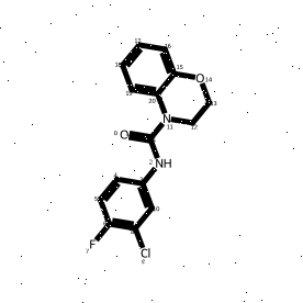 O=C(Nc1ccc(F)c(Cl)c1)N1CCOc2ccccc21